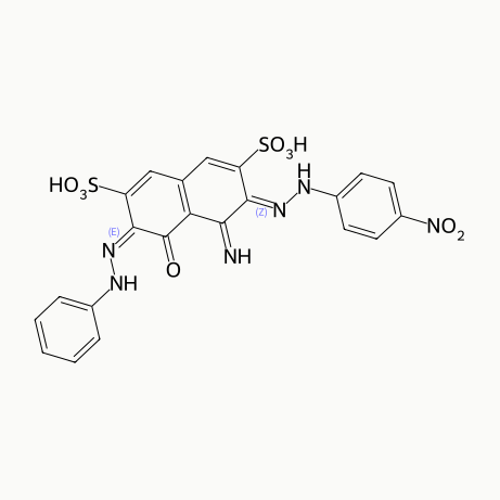 N=c1c2c(=O)/c(=N\Nc3ccccc3)c(S(=O)(=O)O)cc=2cc(S(=O)(=O)O)/c1=N\Nc1ccc([N+](=O)[O-])cc1